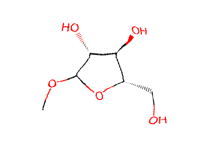 COC1O[C@@H](CO)[C@H](O)[C@H]1O